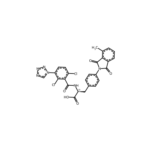 Cc1cccc2c1C(=O)N(c1ccc(C[C@H](NC(=O)c3c(Cl)ccc(-n4cnnn4)c3Cl)C(=O)O)cc1)C2=O